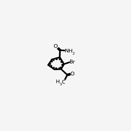 CC(=O)c1cccc(C(N)=O)c1Br